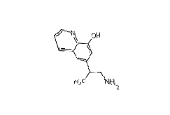 CC(CN)c1cc(O)c2ncccc2c1